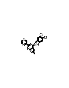 Cc1cc2c(NCc3ccc(Cl)c(Cl)c3)nc(-c3cnccn3)nc2s1